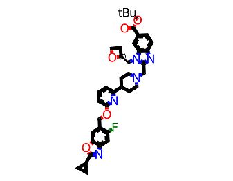 CC(C)(C)OC(=O)c1ccc2nc(CN3CCC(c4cccc(OCc5cc6oc(C7CC7)nc6cc5F)n4)CC3)n(C[C@@H]3CCO3)c2c1